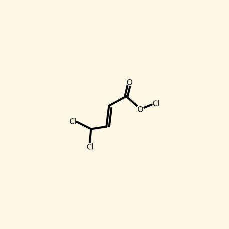 O=C(C=CC(Cl)Cl)OCl